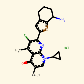 Cc1c(F)c(-c2cc3c(s2)C(N)CCC3)nc2c1c(=O)c(C(=O)O)cn2C1CC1.Cl